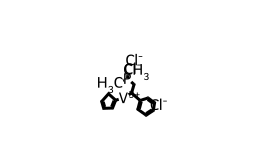 CP(C)C[CH]([V+3][C]1=CC=CC1)c1ccccc1.[Cl-].[Cl-].[Cl-]